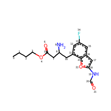 CCCCOC(=O)CC(N)Cc1cc(F)cc2cc(NC=O)oc12